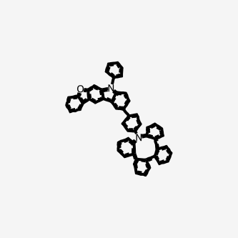 c1ccc(-n2c3ccc(-c4ccc(-n5c6ccccc6c6ccccc6c6ccccc6c6ccccc65)cc4)cc3c3cc4c(cc32)oc2ccccc24)cc1